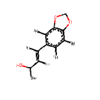 [2H]/C(=C(/[2H])C(O)C(C)(C)C)c1c([2H])c([2H])c2c(c1[2H])OCO2